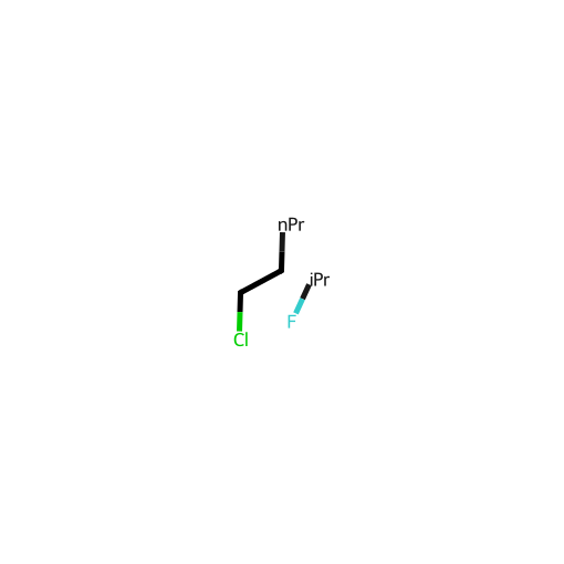 CC(C)F.CCCCCCl